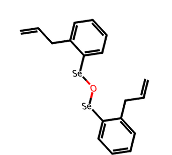 C=CCc1ccccc1[Se]O[Se]c1ccccc1CC=C